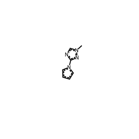 Cn1cnc(-n2cccc2)n1